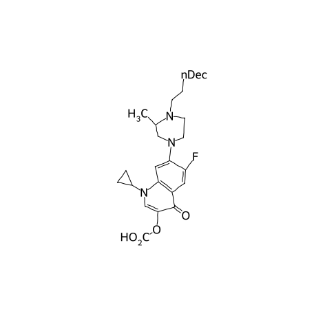 CCCCCCCCCCCCN1CCN(c2cc3c(cc2F)c(=O)c(OC(=O)O)cn3C2CC2)CC1C